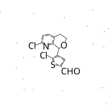 O=Cc1cc(C2OCCc3ccc(Cl)nc32)c(Cl)s1